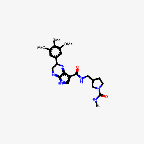 CCNC(=O)N1CCC(CNC(=O)c2c[nH]c3c2=NC(c2cc(OC)c(OC)c(OC)c2)CN=3)C1